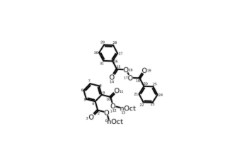 CCCCCCCCOC(=O)c1ccccc1C(=O)OCCCCCCCC.O=C(OOC(=O)c1ccccc1)c1ccccc1